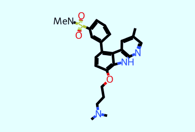 CNS(=O)(=O)c1cccc(-c2ccc(OCCCN(C)C)c3[nH]c4ncc(C)cc4c23)c1